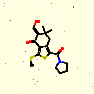 CC(C)Sc1sc(C(=O)N2CCCC2)c2c1C(=O)/C(=C/O)C(C)(C)C2